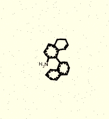 Nc1ccc2c(c1-c1cccc3ccccc13)C=CCC2